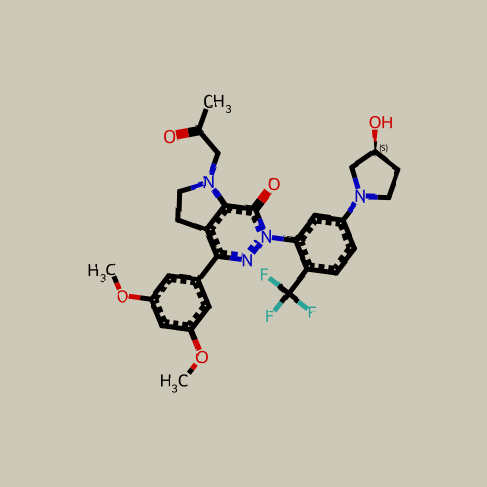 COc1cc(OC)cc(-c2nn(-c3cc(N4CC[C@H](O)C4)ccc3C(F)(F)F)c(=O)c3c2CCN3CC(C)=O)c1